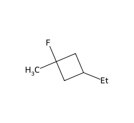 CCC1CC(C)(F)C1